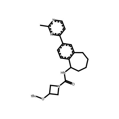 Cc1nccc(-c2ccc3c(c2)CCCCC3NC(=O)N2CC(OC(C)(C)C)C2)n1